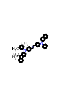 Cc1cc(C)cc(N(c2ccc(/C=C/c3ccc(N(c4ccccc4)c4ccc5ccccc5c4)cc3)cc2)c2ccc3c(c2)C(C)(C)c2ccccc2-3)c1